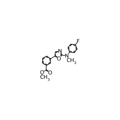 COC(=O)c1cccc(-c2cnc(N(C)c3ccc(F)cc3)o2)c1